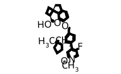 COc1cc(-c2ccc(COc3ccc4c(c3)[C@@]3(CC4)CC[C@@H]3C(=O)O)cc2[C@@H]2CCCC2(C)C)c(F)cn1